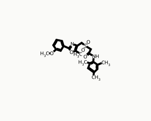 COc1cccc(-c2nc(CS(=O)(=O)CC(=O)Nc3c(C)cc(C)cc3C)c(C)o2)c1